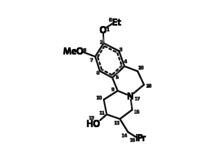 CCOc1cc2c(cc1OC)C1CC(O)C(CC(C)C)CN1CC2